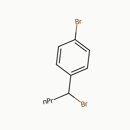 CCCC(Br)c1ccc(Br)cc1